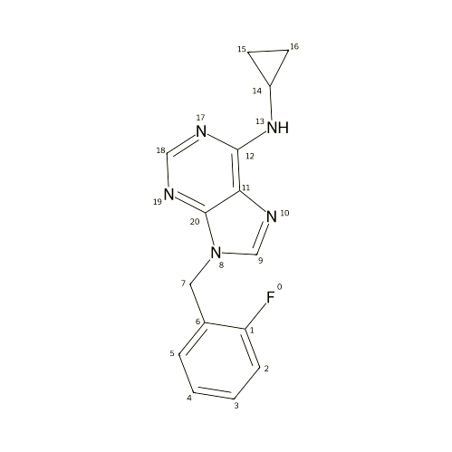 Fc1ccccc1Cn1cnc2c(NC3CC3)ncnc21